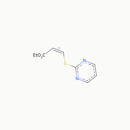 CCOC(=O)/C=C\Sc1ncccn1